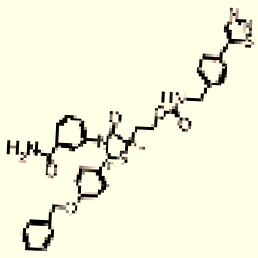 C[C@]1(CCOC(=O)NCc2ccc(-c3cnns3)cc2)S[C@@H](c2ccc(OCc3ccccc3)cc2)N(c2cccc(C(N)=O)c2)C1=O